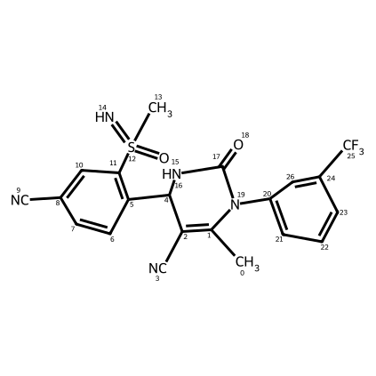 CC1=C(C#N)C(c2ccc(C#N)cc2S(C)(=N)=O)NC(=O)N1c1cccc(C(F)(F)F)c1